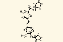 CC(OC(=O)/C=C/C(=O)OC(C)C(=O)OC1CCCC1)C(=O)OC1CCCC1